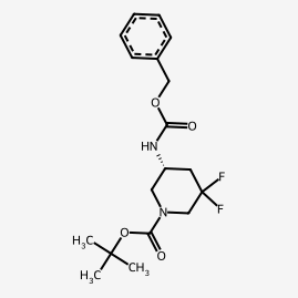 CC(C)(C)OC(=O)N1C[C@H](NC(=O)OCc2ccccc2)CC(F)(F)C1